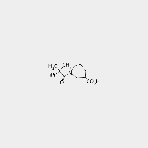 CC(C)C(C)(C)C(=O)N1CCCC(C(=O)O)C1